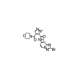 Cn1ncc(C(=O)N2CCOCC2)c1C(=O)Nc1ccn2nc(Br)nc2c1